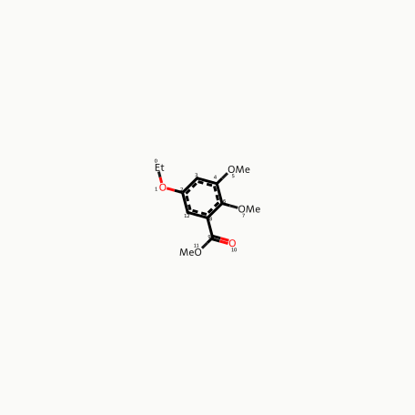 CCOc1cc(OC)c(OC)c(C(=O)OC)c1